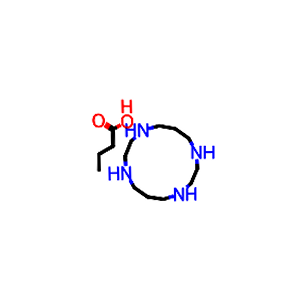 C1CNCCNCCCNCCNC1.CCCC(=O)O